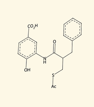 CC(=O)SCC(Cc1ccccc1)C(=O)Nc1cc(C(=O)O)ccc1O